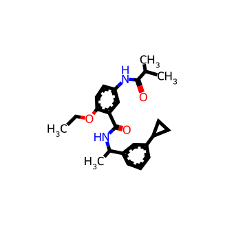 CCOc1ccc(NC(=O)C(C)C)cc1C(=O)NC(C)c1cccc(C2CC2)c1